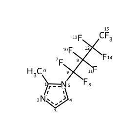 Cc1nccn1C(F)(F)C(F)(F)C(F)(F)C(F)(F)F